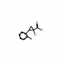 CCC(=O)C1(Cl)CC1c1ccccc1F